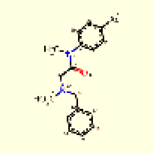 CC(=O)c1ccc(N(C)C(=O)CN(Cc2ccccc2)C(=O)O)cc1